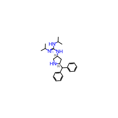 CC(C)/N=C(\NC(C)C)N[C@@H]1CN[C@H](C(c2ccccc2)c2ccccc2)C1